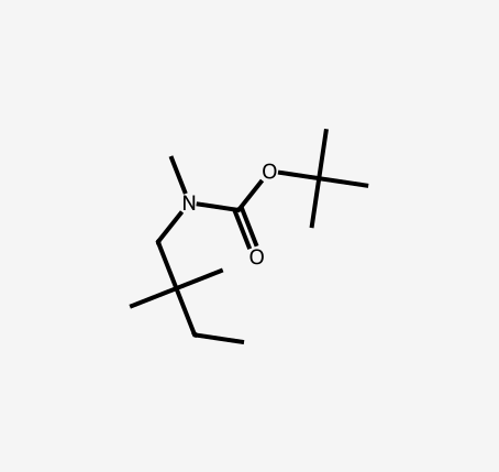 CCC(C)(C)CN(C)C(=O)OC(C)(C)C